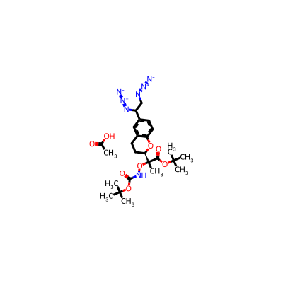 CC(=O)O.CC(C)(C)OC(=O)NOC(C)(C(=O)OC(C)(C)C)[C@H]1CCc2cc(C(CN=[N+]=[N-])N=[N+]=[N-])ccc2O1